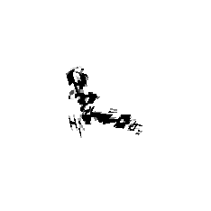 Cc1cc(C(F)=Cc2ccc(OC(F)(F)F)cc2)nn1Cc1cccc(C(=O)N2CCOCC2)c1